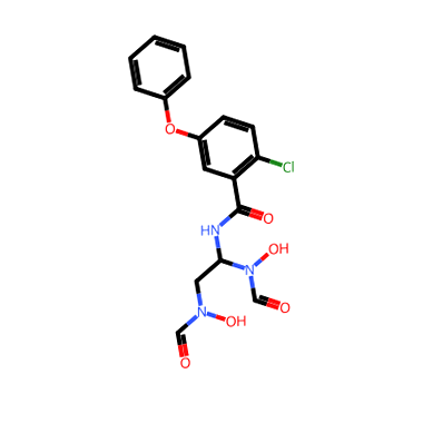 O=CN(O)CC(NC(=O)c1cc(Oc2ccccc2)ccc1Cl)N(O)C=O